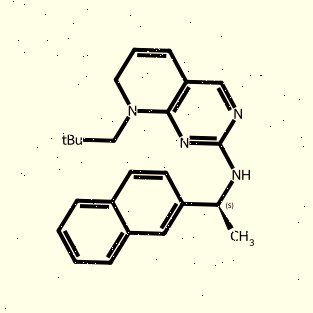 C[C@H](Nc1ncc2c(n1)N(CC(C)(C)C)CC=C2)c1ccc2ccccc2c1